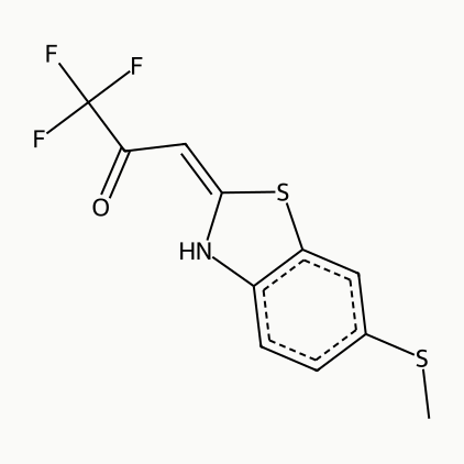 CSc1ccc2c(c1)S/C(=C/C(=O)C(F)(F)F)N2